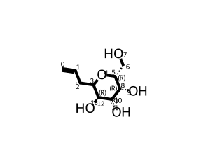 C=C[CH]C1O[C@H](CO)[C@H](O)[C@H](O)[C@H]1O